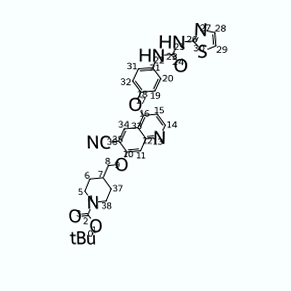 CC(C)(C)OC(=O)N1CCC(COc2cc3nccc(Oc4ccc(NC(=O)Nc5nccs5)cc4)c3cc2C#N)CC1